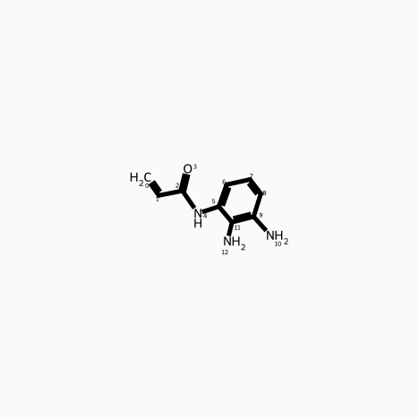 C=CC(=O)Nc1cccc(N)c1N